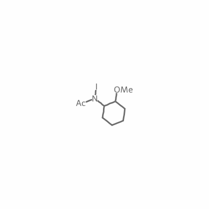 COC1CCCCC1N(I)C(C)=O